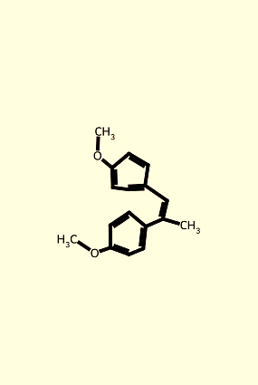 COc1ccc(/C=C(/C)c2ccc(OC)cc2)cc1